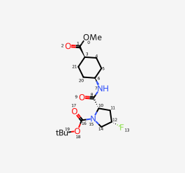 COC(=O)[C@H]1CC[C@@H](NC(=O)[C@@H]2C[C@H](F)CN2C(=O)OC(C)(C)C)CC1